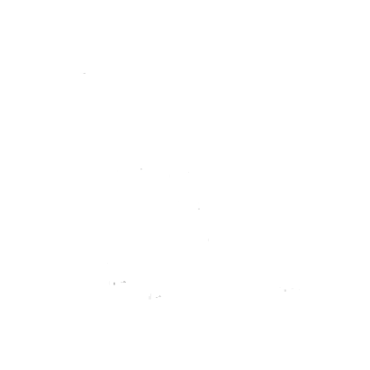 CCCCCCCCCCCCCCCC[Si](CCCCCCCCCCCCCCCC)(OCC)C(CC)SSC(CC)[Si](CCCCCCCCCCCCCCCC)(CCCCCCCCCCCCCCCC)OCC